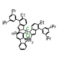 CCCC1=Cc2c(ccc(CC)c2-c2cc(C(C)C)cc(C(C)C)c2)[CH]1[Zr]([Cl])([Cl])([c]1cccc2c1[SiH2]c1ccccc1-2)[CH]1C(CCC)=Cc2c1ccc(CC)c2-c1cc(C(C)C)cc(C(C)C)c1